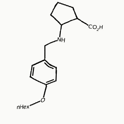 CCCCCCOc1ccc(CNC2CCCC2C(=O)O)cc1